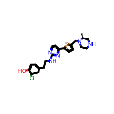 C[C@H]1CNCCN1Cc1ccc(-c2ccnc(NCCC3=CC=C(O)C(Cl)C3)n2)s1